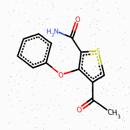 CC(=O)c1csc(C(N)=O)c1Oc1ccccc1